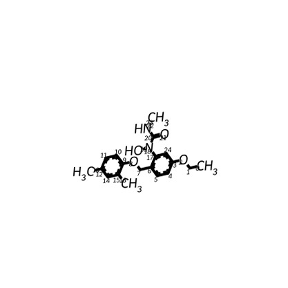 CCOc1ccc(COc2ccc(C)cc2C)c(N(O)C(=O)NC)c1